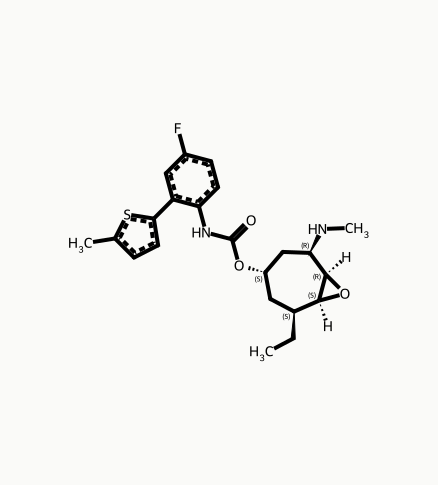 CC[C@H]1C[C@H](OC(=O)Nc2ccc(F)cc2-c2ccc(C)s2)C[C@@H](NC)[C@H]2O[C@@H]12